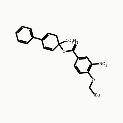 CCC(C)COc1ccc(C(=O)OC2(C(=O)O)C=CC(c3ccccc3)=CC2)cc1[N+](=O)[O-]